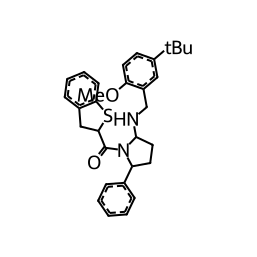 COc1ccc(C(C)(C)C)cc1CNC1CCC(c2ccccc2)N1C(=O)C1Cc2ccccc2S1